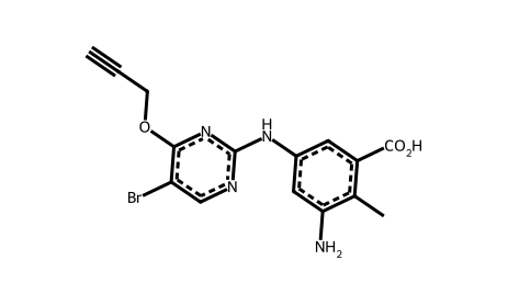 C#CCOc1nc(Nc2cc(N)c(C)c(C(=O)O)c2)ncc1Br